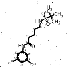 CC(C)(C)S(=O)(=O)NCCCCC(=O)Nc1cc(F)cc(F)c1